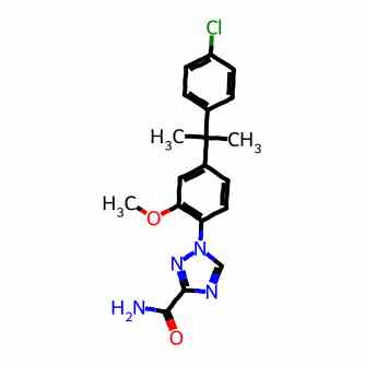 COc1cc(C(C)(C)c2ccc(Cl)cc2)ccc1-n1cnc(C(N)=O)n1